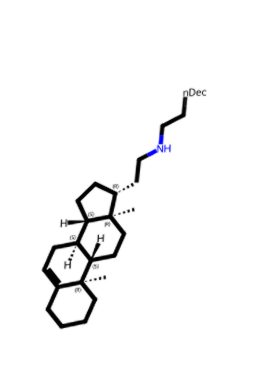 CCCCCCCCCCCCNCC[C@H]1CC[C@H]2[C@@H]3CC=C4CCCC[C@]4(C)[C@H]3CC[C@]12C